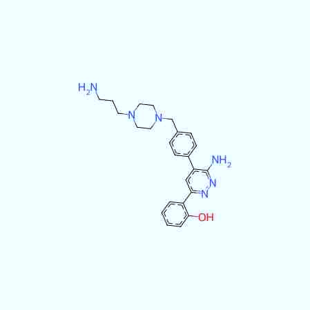 NCCCN1CCN(Cc2ccc(-c3cc(-c4ccccc4O)nnc3N)cc2)CC1